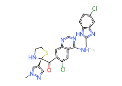 C[C@H](Nc1ncnc2cc(C(=O)[C@]3(c4cnn(C)c4)NCCS3)c(Cl)cc12)c1nc2cc(Cl)ccc2[nH]1